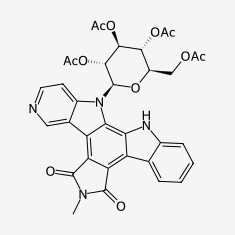 CC(=O)OC[C@H]1O[C@@H](n2c3ccncc3c3c4c(c5c6ccccc6[nH]c5c32)C(=O)N(C)C4=O)[C@H](OC(C)=O)[C@@H](OC(C)=O)[C@@H]1OC(C)=O